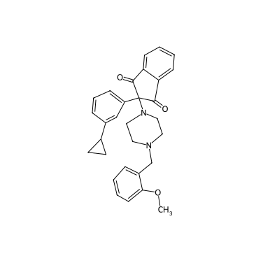 COc1ccccc1CN1CCN(C2(c3cccc(C4CC4)c3)C(=O)c3ccccc3C2=O)CC1